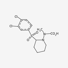 CN(C(=O)O)N1CCCCC1S(=O)(=O)c1ccc(Cl)c(Cl)c1